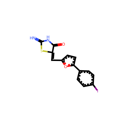 N=C1NC(=O)/C(=C\c2ccc(-c3ccc(I)cc3)o2)S1